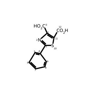 O=C(O)c1nc(-c2ccccc2)sc1C(=O)O